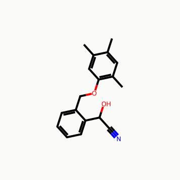 Cc1cc(C)c(OCc2ccccc2C(O)C#N)cc1C